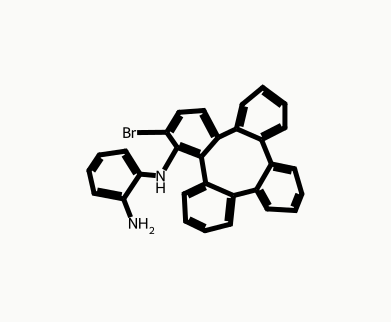 Nc1ccccc1Nc1c(Br)ccc2c1-c1ccccc1-c1ccccc1-c1ccccc1-2